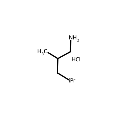 CC(C)CC(C)CN.Cl